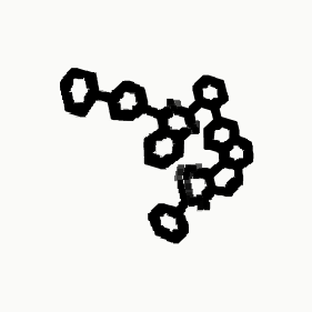 N=C1/C(=N\Nc2ccccc2)C=Cc2ccc3cc(-c4ccccc4-c4nc(-c5ccc(-c6ccccc6)cc5)c5ccccc5n4)ccc3c21